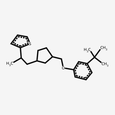 CC(CC1CCC(COc2cccc(C(C)(C)C)c2)C1)c1cccs1